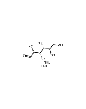 Cl.N.O=C[C@@H](O)[C@@H](O)[C@H](O)[C@H](O)CO